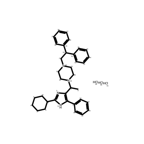 CC(c1nc(C2CCCCC2)[nH]c1-c1ccccc1)N1CCN(CC(c2ccccc2)c2ccccc2)CC1.Cl.Cl.Cl